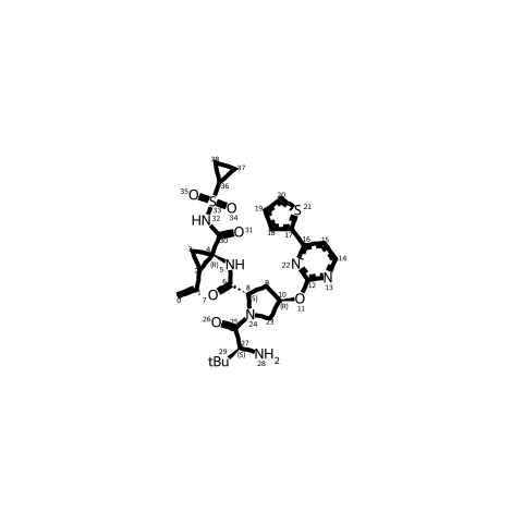 C=CC1C[C@]1(NC(=O)[C@@H]1C[C@@H](Oc2nccc(-c3cccs3)n2)CN1C(=O)[C@@H](N)C(C)(C)C)C(=O)NS(=O)(=O)C1CC1